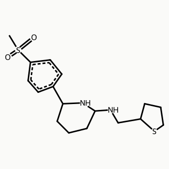 CS(=O)(=O)c1ccc(C2CCCC(NCC3CCCS3)N2)cc1